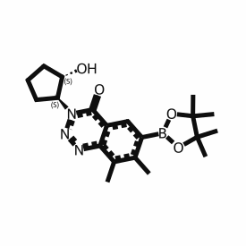 Cc1c(B2OC(C)(C)C(C)(C)O2)cc2c(=O)n([C@H]3CCC[C@@H]3O)nnc2c1C